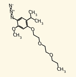 CCCOCCOCCOc1cc(OC)c(N=[N+]=[N-])cc1C(C)C